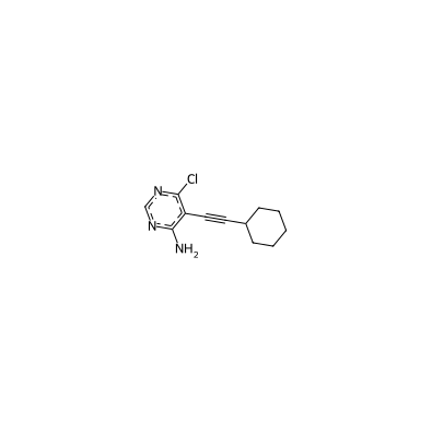 Nc1ncnc(Cl)c1C#CC1CCCCC1